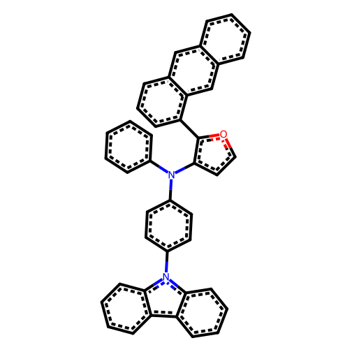 c1ccc(N(c2ccc(-n3c4ccccc4c4ccccc43)cc2)c2ccoc2-c2cccc3cc4ccccc4cc23)cc1